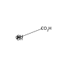 O=C(O)CCCCCCCCCCCCCCCCCCCCCCCCCP(=O)(O)O